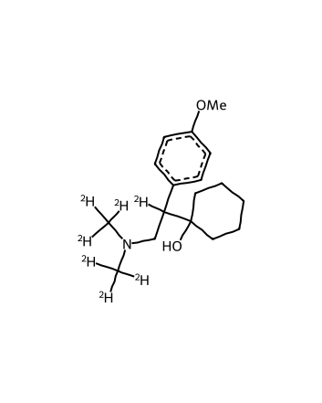 [2H]C([2H])([2H])N(CC([2H])(c1ccc(OC)cc1)C1(O)CCCCC1)C([2H])([2H])[2H]